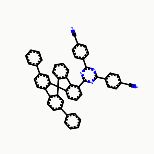 N#Cc1ccc(-c2nc(-c3ccc(C#N)cc3)nc(-c3cccc4c3-c3ccccc3C43c4cc(-c5ccccc5)ccc4-c4ccc(-c5ccccc5)cc43)n2)cc1